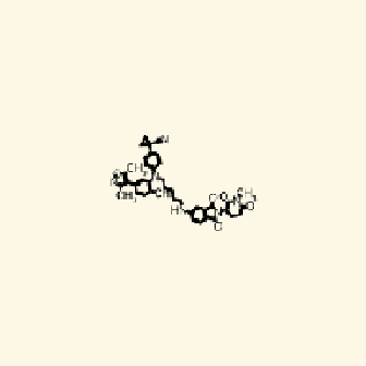 Cc1ccc(-c2c(C)noc2C)cc1N(CCCCCNc1ccc2c(c1)C(=O)N(C1CCC(=O)N(C)C1=O)C2=O)c1ccc(C2(C#N)CC2)cc1